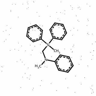 CN(C[Si](C)(c1ccccc1)c1ccccc1)c1ccccc1